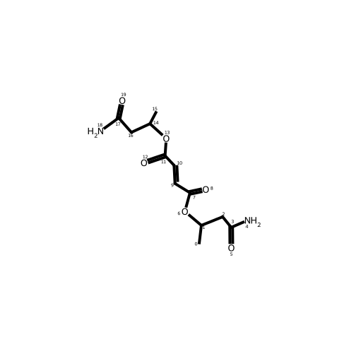 CC(CC(N)=O)OC(=O)/C=C/C(=O)OC(C)CC(N)=O